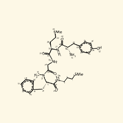 CSCCCNC(=O)[C@H](Cc1ccccc1)N(C)C(=O)CNC(=O)[C@@H](CCSC)NC(=O)[C@@H](N)Cc1ccc(O)cc1